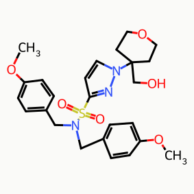 COc1ccc(CN(Cc2ccc(OC)cc2)S(=O)(=O)c2ccn(C3(CO)CCOCC3)n2)cc1